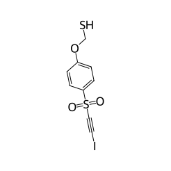 O=S(=O)(C#CI)c1ccc(OCS)cc1